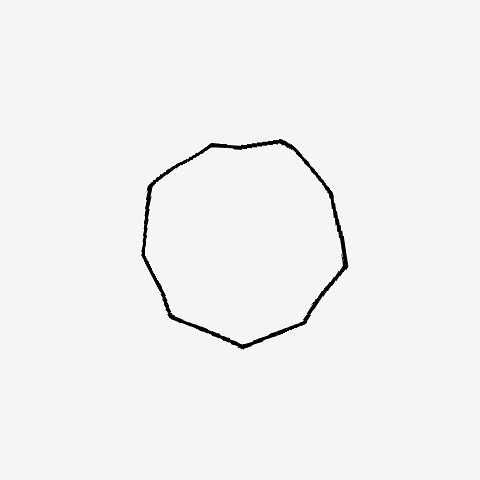 C1CCCCCCCC1